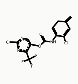 C=C1C=C(Cl)C(NC(=O)Oc2cnc(Cl)nc2C(F)(F)F)=CC1